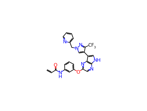 C=CC(=O)Nc1cccc(Oc2cnc3[nH]cc(-c4cn(Cc5ccccn5)nc4C(F)(F)F)c3n2)c1